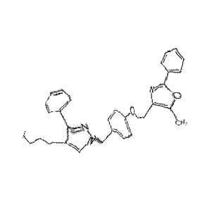 Cc1oc(-c2ccccc2)nc1COc1ccc(Cn2cc(CCCI)c(-c3ccccc3)n2)cc1